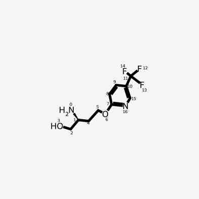 N[C@H](CO)CCOc1ccc(C(F)(F)F)cn1